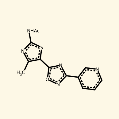 CC(=O)Nc1nc(C)c(-c2nc(-c3cccnc3)no2)s1